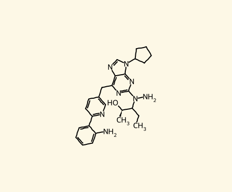 CCC([C@@H](C)O)N(N)c1nc(Cc2ccc(-c3ccccc3N)nc2)c2ncn(C3CCCC3)c2n1